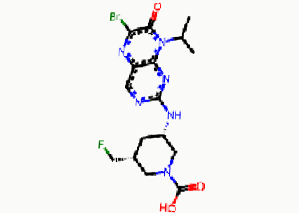 CC(C)n1c(=O)c(Br)nc2cnc(N[C@H]3C[C@@H](CF)CN(C(=O)O)C3)nc21